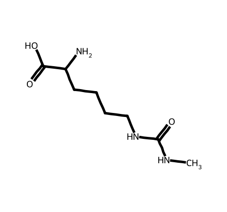 CNC(=O)NCCCCC(N)C(=O)O